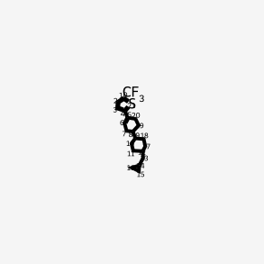 FC(F)(F)c1ccc(C2=CCC(C3CCC(CC4CC4)CC3)CC2)s1